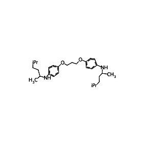 CC(C)CCC(C)Nc1ccc(OCCCOc2ccc(NC(C)CCC(C)C)cc2)cc1